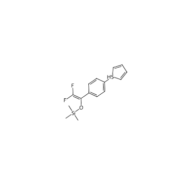 C[Si](C)(C)OC(=C(F)F)c1ccc([SH]2C=CC=C2)cc1